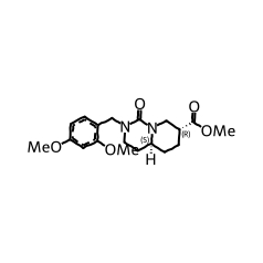 COC(=O)[C@@H]1CC[C@H]2CCN(Cc3ccc(OC)cc3OC)C(=O)N2C1